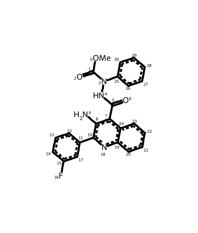 COC(=O)N(NC(=O)c1c(N)c(-c2cccc(F)c2)nc2ccccc12)c1ccccc1